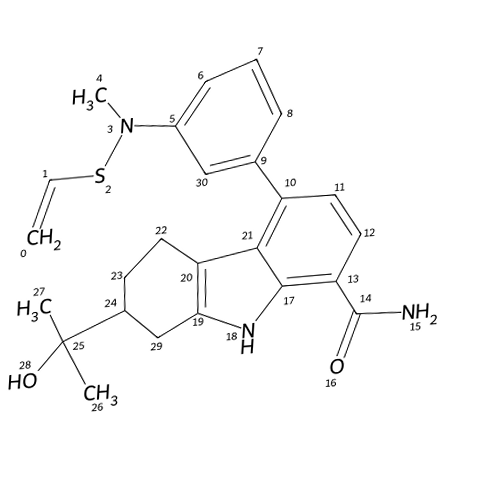 C=CSN(C)c1cccc(-c2ccc(C(N)=O)c3[nH]c4c(c23)CCC(C(C)(C)O)C4)c1